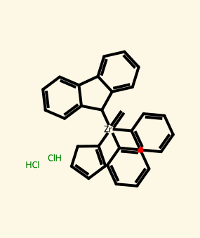 Cl.Cl.[CH2]=[Zr]([C]1=CC=CC1)([c]1ccccc1)([c]1ccccc1)[CH]1c2ccccc2-c2ccccc21